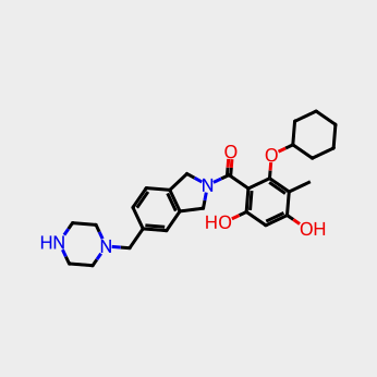 Cc1c(O)cc(O)c(C(=O)N2Cc3ccc(CN4CCNCC4)cc3C2)c1OC1CCCCC1